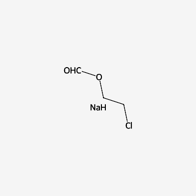 O=COCCCl.[NaH]